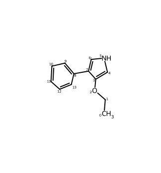 CCOc1c[nH][c]c1-c1ccccc1